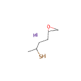 CC(S)CCC1CO1.I